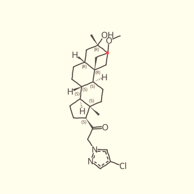 COCC[C@]12CC[C@@](C)(O)C[C@H]1CC[C@H]1[C@@H]3CC[C@H](C(=O)Cn4cc(Cl)cn4)[C@@]3(C)CC[C@@H]12